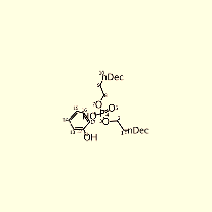 CCCCCCCCCCCCOP(=O)(O)OCCCCCCCCCCCC.Oc1ccccc1